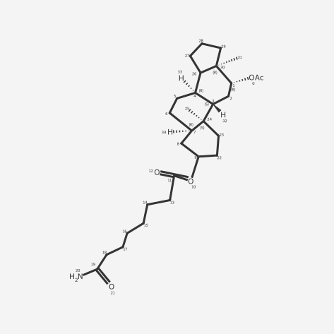 CC(=O)O[C@@H]1C[C@H]2[C@@H](CC[C@@H]3CC(OC(=O)CCCCCCC(N)=O)CC[C@@]32C)C2CCC[C@]21C